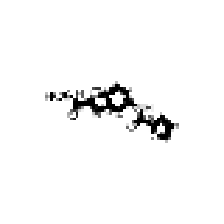 O=C(Nc1ccc2oc(C(=O)NO)cc2c1)c1ccco1